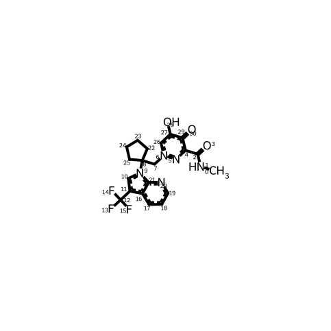 CNC(=O)c1nn(CC2(n3cc(C(F)(F)F)c4cccnc43)CCCC2)cc(O)c1=O